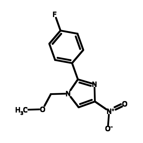 COCn1cc([N+](=O)[O-])nc1-c1ccc(F)cc1